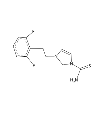 NC(=S)N1C=CN(CCc2c(F)cccc2F)C1